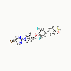 C=S(C)(=O)c1ccc(-c2cc(F)c(OCC3C4CN(c5ncc(Br)cn5)C[C@H]34)c(F)c2)cc1